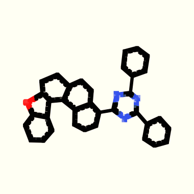 c1ccc(-c2nc(-c3ccccc3)nc(-c3cccc4c3ccc3ccc5oc6ccccc6c5c34)n2)cc1